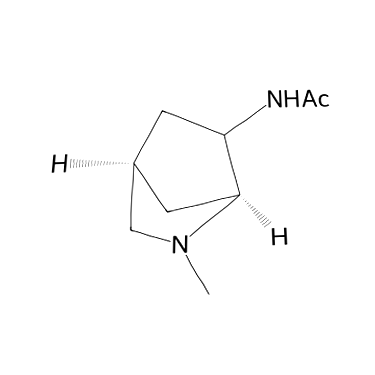 CC(=O)NC1C[C@H]2C[C@@H]1N(C)C2